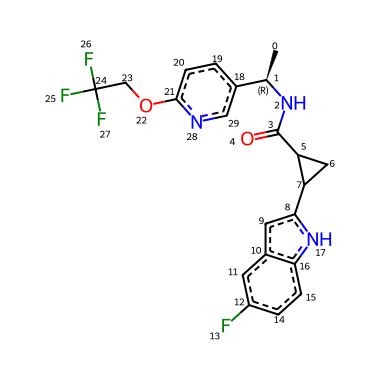 C[C@@H](NC(=O)C1CC1c1cc2cc(F)ccc2[nH]1)c1ccc(OCC(F)(F)F)nc1